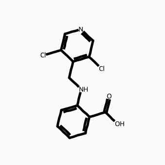 O=C(O)c1ccccc1NCc1c(Cl)cncc1Cl